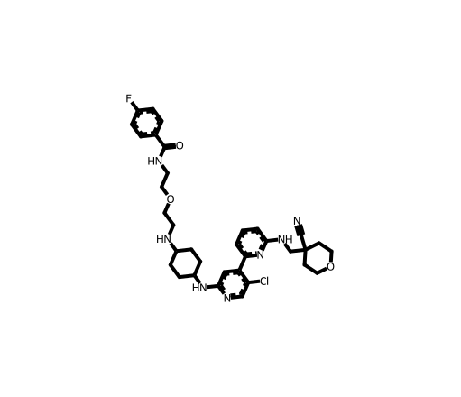 N#CC1(CNc2cccc(-c3cc(NC4CCC(NCCOCCNC(=O)c5ccc(F)cc5)CC4)ncc3Cl)n2)CCOCC1